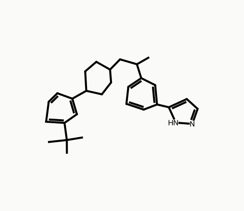 CC(CC1CCC(c2cccc(C(C)(C)C)c2)CC1)c1cccc(-c2ccn[nH]2)c1